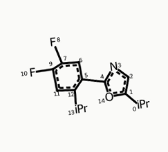 CC(C)c1cnc(-c2cc(F)c(F)cc2C(C)C)o1